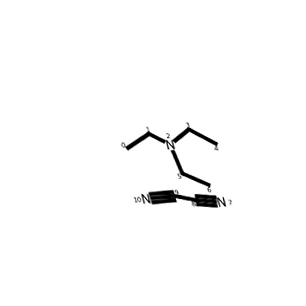 CCN(CC)CC.N#CC#N